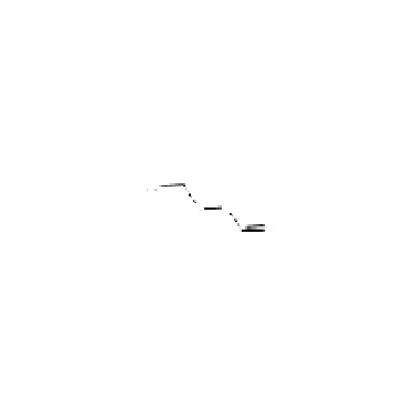 CCSS[C]=O